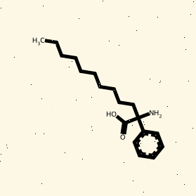 CCCCCCCCCCC(N)(C(=O)O)c1ccccc1